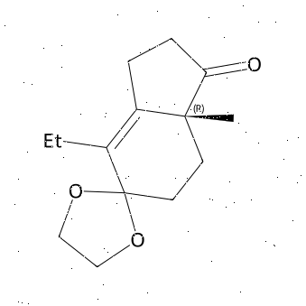 CCC1=C2CCC(=O)[C@]2(C)CCC12OCCO2